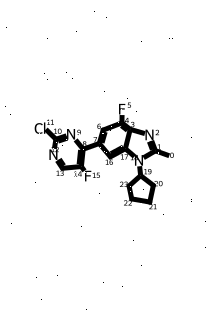 Cc1nc2c(F)cc(-c3nc(Cl)ncc3F)cc2n1C1CCCC1